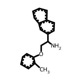 Cc1ccccc1OCC(N)c1ccc2ccccc2c1